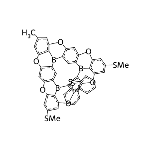 CSc1cc2c3c(c1)Oc1c(sc4ccccc14)B3c1cc3c(cc1O2)Oc1cc(C)cc2c1B3c1cc3c(cc1O2)Oc1cc(SC)cc2c1B3c1sc3ccccc3c1O2